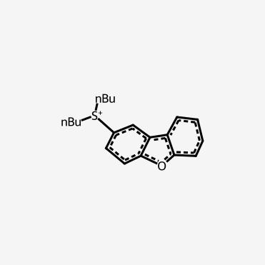 CCCC[S+](CCCC)c1ccc2oc3ccccc3c2c1